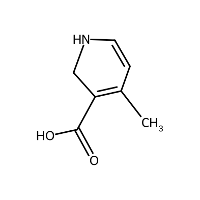 CC1=C(C(=O)O)CNC=C1